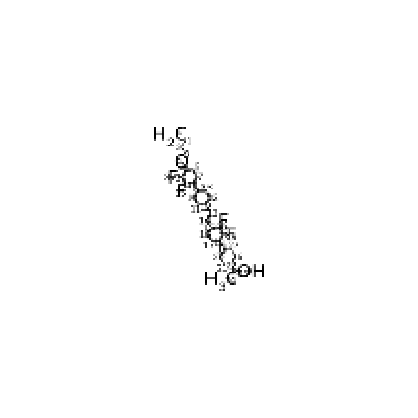 C=CCCOc1ccc(-c2ccc(CCc3ccc(C4=CCC(C(C)O)CC4)c(F)c3F)cc2)c(F)c1F